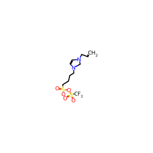 C=CCN1C=CN(CCCCS(=O)(=O)OS(=O)(=O)C(F)(F)F)C1